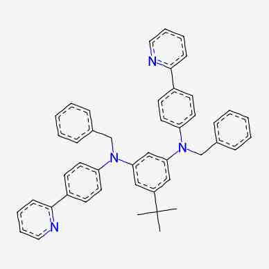 CC(C)(C)c1cc(N(Cc2ccccc2)c2ccc(-c3ccccn3)cc2)cc(N(Cc2ccccc2)c2ccc(-c3ccccn3)cc2)c1